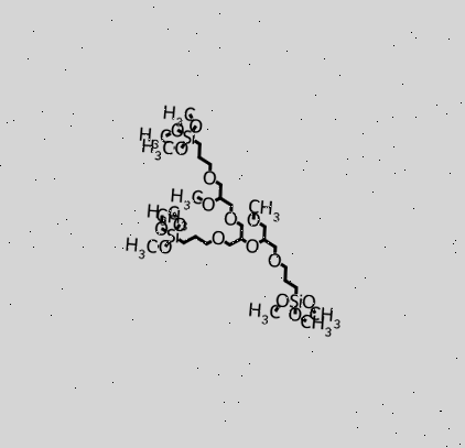 COCC(COCCC[Si](OC)(OC)OC)OC(COCCC[Si](OC)(OC)OC)COCC(COCCC[Si](OC)(OC)OC)OC